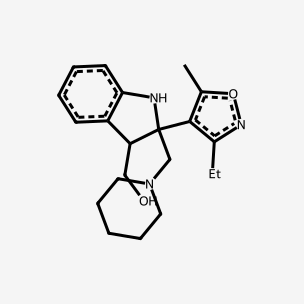 CCc1noc(C)c1C1(CN2CCCCC2)Nc2ccccc2C1CO